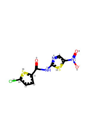 O=C(Nc1ncc([N+](=O)[O-])s1)c1ccc(Cl)s1